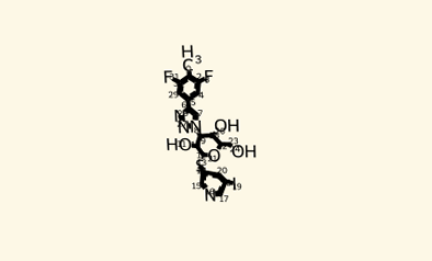 Cc1c(F)cc(-c2cn(C3C(O)[C@@H](Sc4cncc(I)c4)OC(CO)[C@@H]3O)nn2)cc1F